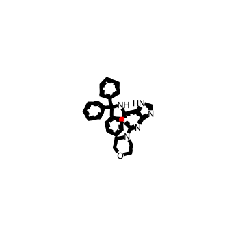 c1ccc(C(Nc2nc(N3CCOCC3)nc3nc[nH]c23)(c2ccccc2)c2ccccc2)cc1